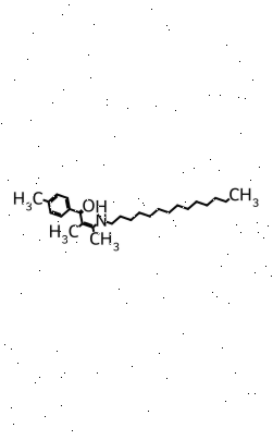 CCCCCCCCCCCCCCN/C(C)=C(/C)C(=O)c1ccc(C)cc1